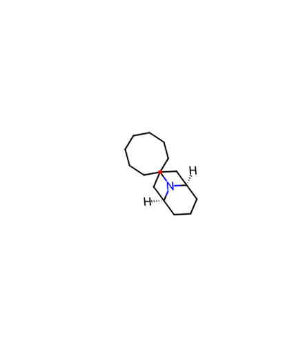 C1CCCC(N2[C@H]3CCC[C@@H]2CCC3)CCC1